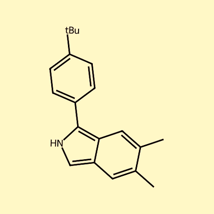 Cc1cc2c[nH]c(-c3ccc(C(C)(C)C)cc3)c2cc1C